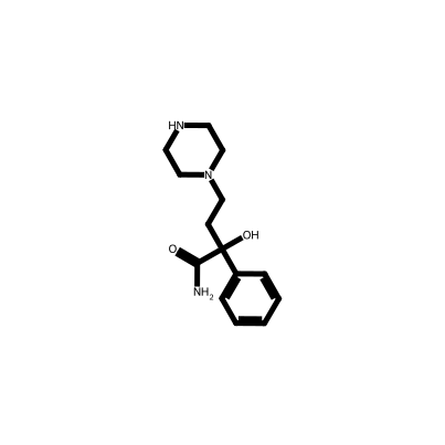 NC(=O)C(O)(CCN1CCNCC1)c1ccccc1